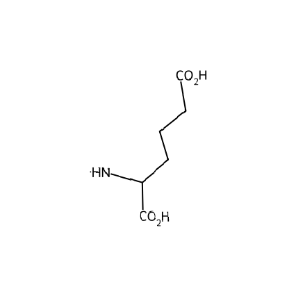 [NH]C(CCCC(=O)O)C(=O)O